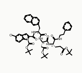 CC(C)(C)OC(=O)CC[C@H](NC(=O)[C@H](CC(=O)OC(C)(C)C)NC(=O)[C@H](Cc1ccc2ccccc2c1)NC(=O)c1cc2cc(Cl)ccc2n1C(=O)OC(C)(C)C)C(=O)NCCc1ccccc1